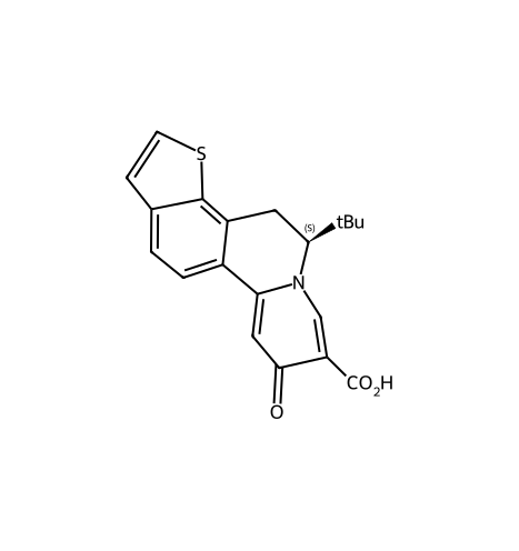 CC(C)(C)[C@@H]1Cc2c(ccc3ccsc23)-c2cc(=O)c(C(=O)O)cn21